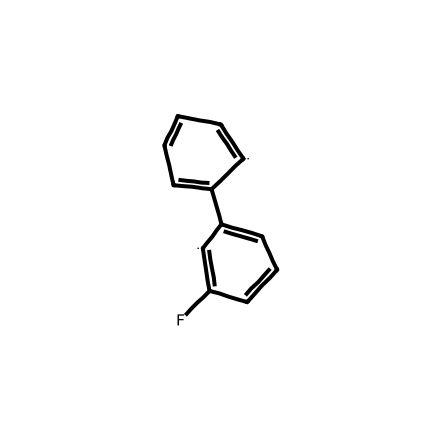 Fc1[c]c(-c2[c]cccc2)ccc1